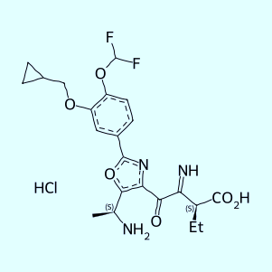 CC[C@@H](C(=N)C(=O)c1nc(-c2ccc(OC(F)F)c(OCC3CC3)c2)oc1[C@H](C)N)C(=O)O.Cl